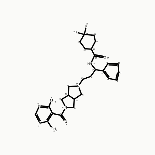 Cc1ncnc(C)c1C(=O)N1CC2CN(CCC(NC(=O)C3CCC(F)(F)CC3)c3ccccc3)CC2C1